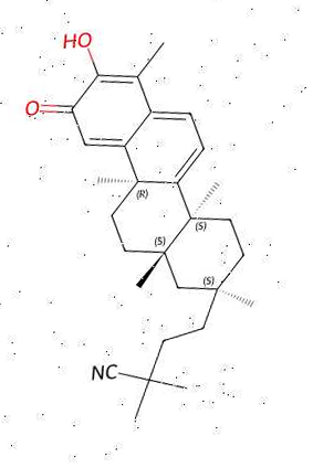 CC1=C(O)C(=O)C=C2C1=CC=C1[C@@]2(C)CC[C@@]2(C)C[C@](C)(CCC(C)(C)C#N)CC[C@]12C